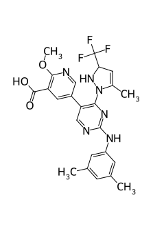 COc1ncc(-c2cnc(Nc3cc(C)cc(C)c3)nc2N2NC(C(F)(F)F)C=C2C)cc1C(=O)O